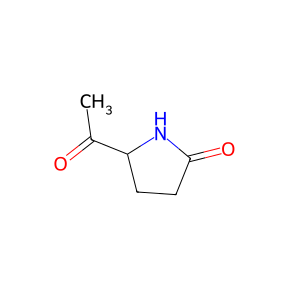 CC(=O)C1CCC(=O)N1